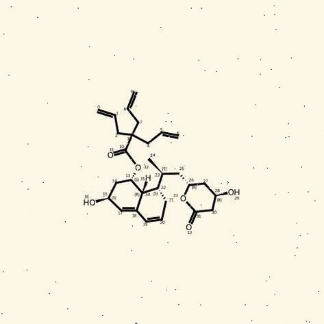 C=CCC(CC=C)(CC=C)C(=O)O[C@H]1C[C@H](O)C=C2C=CC[C@@H]([C@@H](C)C[C@@H]3C[C@@H](O)CC(=O)O3)[C@H]21